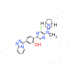 CN(c1cnc(-c2ccc(-c3nnc4ccccn34)cc2O)cn1)[C@H]1C[C@@H]2CC[C@@H](N2)[C@H]1F